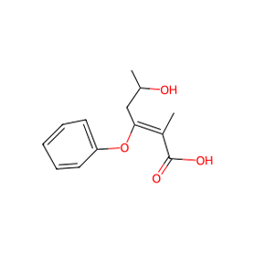 CC(C(=O)O)=C(CC(C)O)Oc1ccccc1